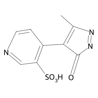 CC1=C(c2ccncc2S(=O)(=O)O)C(=O)N=N1